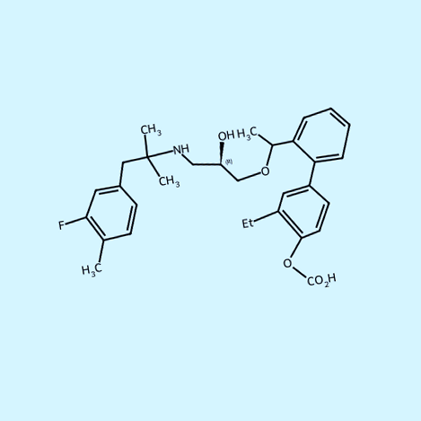 CCc1cc(-c2ccccc2C(C)OC[C@H](O)CNC(C)(C)Cc2ccc(C)c(F)c2)ccc1OC(=O)O